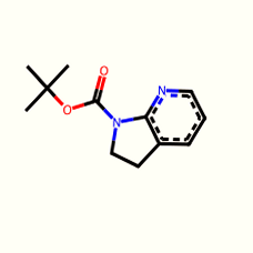 CC(C)(C)OC(=O)N1CCc2cccnc21